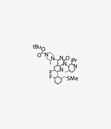 CSCc1cccc(F)c1-c1nc2c(cc1F)c(N1CCN(C(=O)OC(C)(C)C)C[C@@H]1C)nc(=O)n2-c1c(C)ccnc1C(C)C